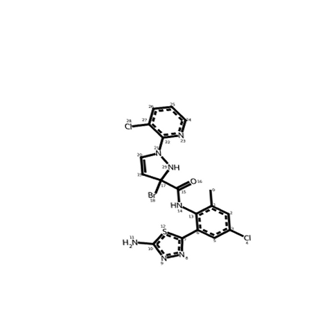 Cc1cc(Cl)cc(-c2nnc(N)s2)c1NC(=O)C1(Br)C=CN(c2ncccc2Cl)N1